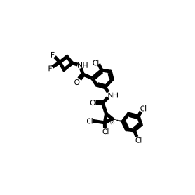 O=C(NC1CC(F)(F)C1)c1cc(NC(=O)C2[C@H](c3cc(Cl)cc(Cl)c3)C2(Cl)Cl)ccc1Cl